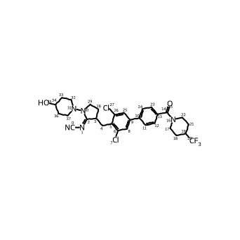 N#C/N=C1/C(Cc2c(Cl)cc(-c3ccc(C(=O)N4CCC(C(F)(F)F)CC4)cc3)cc2Cl)CCN1N1CCC(O)CC1